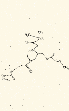 COCC(=O)OCC1CN(C(=O)CCNC(=O)OC)CCN1CC(=O)C(C)(C)C